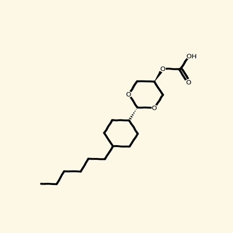 CCCCCCC1CCC([C@H]2OC[C@H](OC(=O)O)CO2)CC1